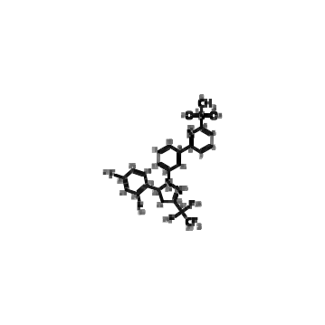 CS(=O)(=O)c1cccc(-c2cccc(N3N=C(C(F)(F)C(F)(F)F)CC3c3ccc(F)cc3F)c2)n1